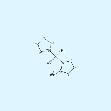 CCC(CC)(C1CCCN1C(C)C)N1CCCC1